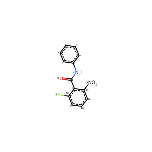 O=C(Nc1ccccc1)c1c(F)cccc1[N+](=O)[O-]